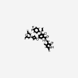 CCN(c1cc(OC2CC(N3CC(C)OC(C)C3)C2)cc(C(=O)NCc2c(C)cc(C)[nH]c2=O)c1Cl)C1CCC(F)(F)CC1